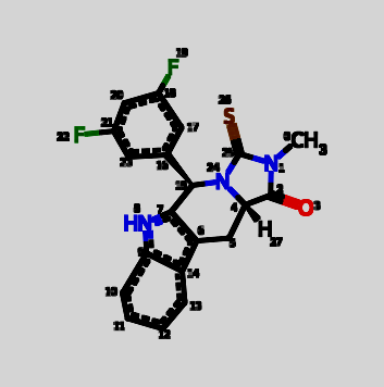 CN1C(=O)[C@@H]2Cc3c([nH]c4ccccc34)[C@@H](c3cc(F)cc(F)c3)N2C1=S